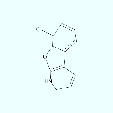 Clc1cccc2c3c(oc12)NCC=C3